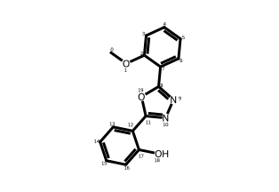 COc1ccccc1-c1nnc(-c2ccccc2O)o1